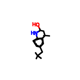 C[C]1CC(O)Nc2ccc(CC(C)(C)C)cc21